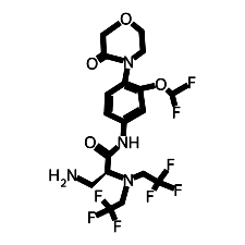 NC[C@@H](C(=O)Nc1ccc(N2CCOCC2=O)c(OC(F)F)c1)N(CC(F)(F)F)CC(F)(F)F